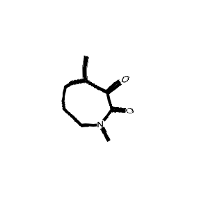 CC1CCCN(C)C(=O)C1=O